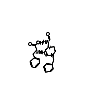 N[C@H](Cc1ccccc1)C(=O)O.O=CNN1CCN(Cc2ccccc2)CC1